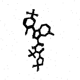 CN1CCCn2c(-c3cc(C(F)(F)F)ccc3F)nc(C(=O)NC(C(=O)N3CCC(F)(F)C3)C(C)(C)C)c2C1